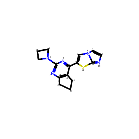 c1cn2cc(-c3nc(N4CCC4)nc4c3CCC4)sc2n1